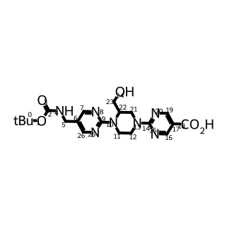 CC(C)(C)OC(=O)NCc1cnc(N2CCN(c3ncc(C(=O)O)cn3)CC2CO)nc1